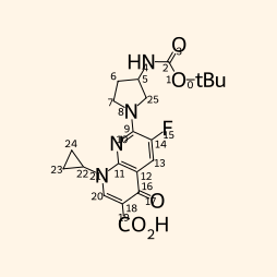 CC(C)(C)OC(=O)NC1CCN(c2nc3c(cc2F)c(=O)c(C(=O)O)cn3C2CC2)C1